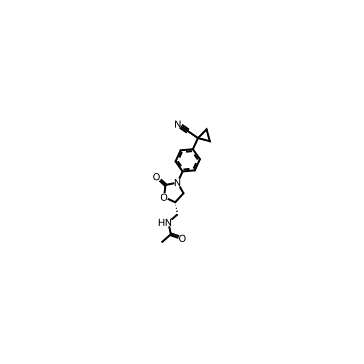 CC(=O)NC[C@H]1CN(c2ccc(C3(C#N)CC3)cc2)C(=O)O1